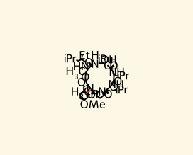 CC[C@@H](CN[C@@H]1C(=O)N[C@H]([C@@H](C)CC)[C@@H](O)CC(=O)N[C@@H](C(C)C)C(=O)N[C@@H](CC(C)C)C(=O)N2CCC[C@H]2C(=O)N(C)[C@@H](Cc2ccc(OC)cc2)C(=O)O[C@@H]1C)CC(C)C